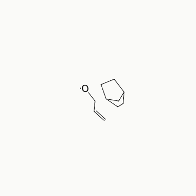 C1CC2CCC1C2.C=CC[O]